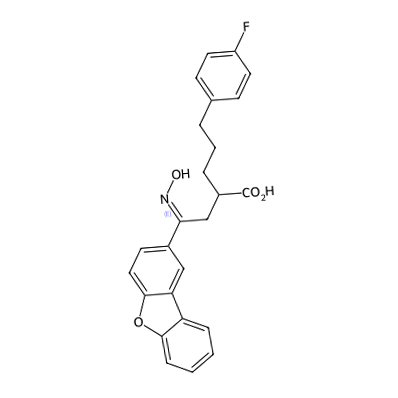 O=C(O)C(CCCc1ccc(F)cc1)C/C(=N\O)c1ccc2oc3ccccc3c2c1